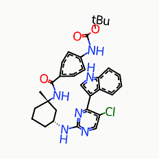 CC(C)(C)OC(=O)Nc1ccc(C(=O)N[C@@]2(C)CCC[C@@H](Nc3ncc(Cl)c(-c4c[nH]c5ccccc45)n3)C2)cc1